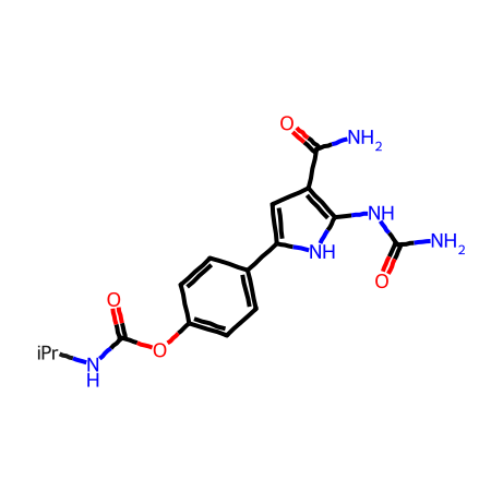 CC(C)NC(=O)Oc1ccc(-c2cc(C(N)=O)c(NC(N)=O)[nH]2)cc1